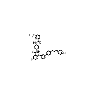 Cc1cccc(C(=O)N[C@H]2CC[C@@H](NC(=O)c3cc(F)cnc3Oc3cccc(-c4ccc(CCCN5CCNCC5)cc4)c3)CC2)n1